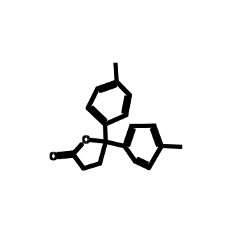 Cc1ccc(C2(c3ccc(C)cc3)CCC(=O)O2)cc1